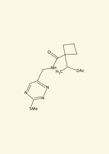 CSc1ncc(CNC(=O)C2(C(C)OC(C)=O)CCC2)nn1